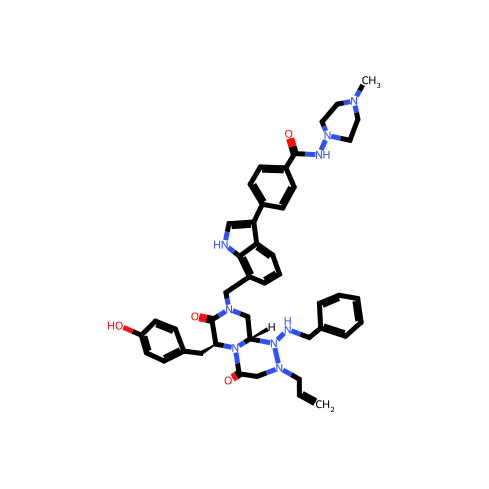 C=CCN1CC(=O)N2[C@@H](Cc3ccc(O)cc3)C(=O)N(Cc3cccc4c(-c5ccc(C(=O)NN6CCN(C)CC6)cc5)c[nH]c34)C[C@@H]2N1NCc1ccccc1